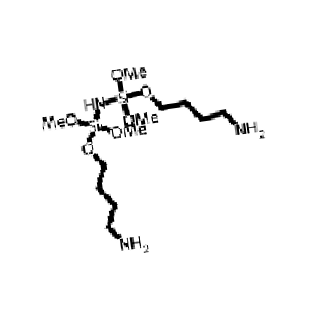 CO[Si](N[Si](OC)(OC)OCCCCN)(OC)OCCCCN